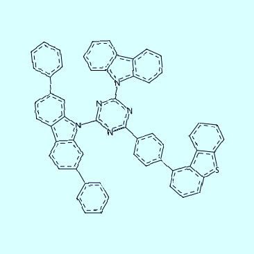 c1ccc(-c2ccc3c4ccc(-c5ccccc5)cc4n(-c4nc(-c5ccc(-c6cccc7sc8ccccc8c67)cc5)nc(-n5c6ccccc6c6ccccc65)n4)c3c2)cc1